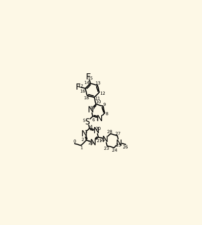 CCc1nc(Sc2nccc(-c3ccc(F)c(F)c3)n2)nc(N2CCN(C)CC2)n1